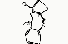 ClC1=CCCC2=C1Nc1ccccc1S2